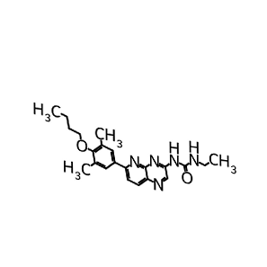 CCCCOc1c(C)cc(-c2ccc3ncc(NC(=O)NCC)nc3n2)cc1C